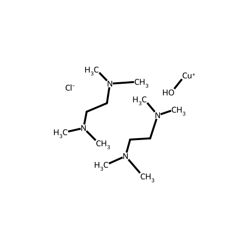 CN(C)CCN(C)C.CN(C)CCN(C)C.[Cl-].[OH][Cu+]